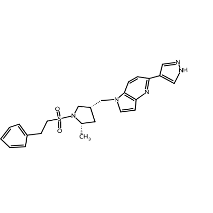 C[C@H]1C[C@@H](Cn2ccc3nc(-c4cn[nH]c4)ccc32)CN1S(=O)(=O)CCc1ccccc1